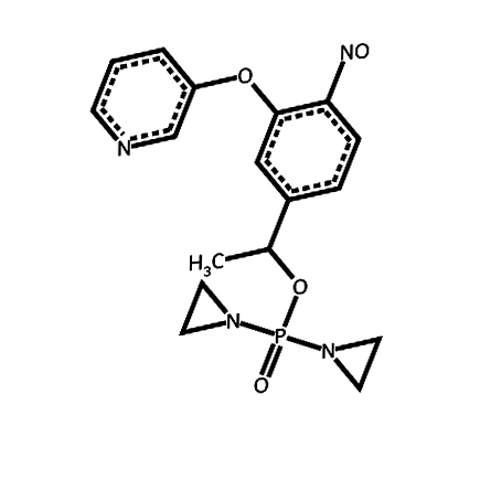 CC(OP(=O)(N1CC1)N1CC1)c1ccc(N=O)c(Oc2cccnc2)c1